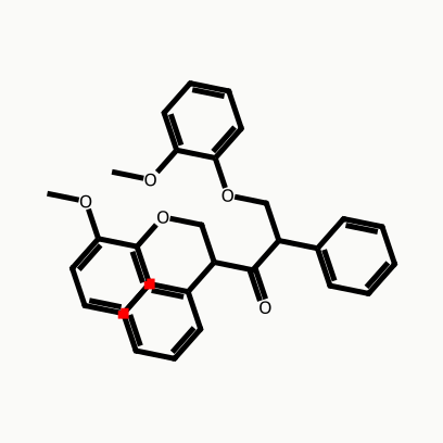 COc1ccccc1OCC(C(=O)C(COc1ccccc1OC)c1ccccc1)c1ccccc1